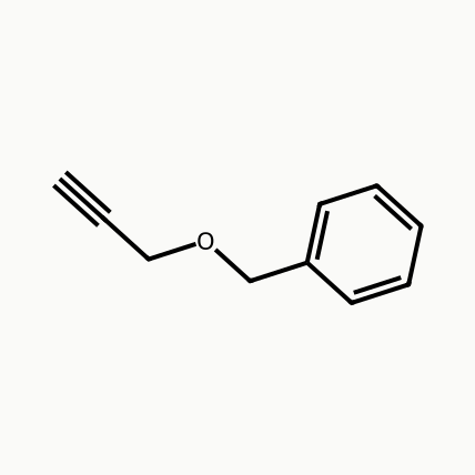 C#CCOCc1ccccc1